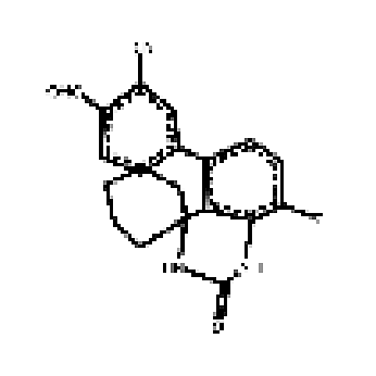 N#Cc1cc(-c2ccc(Cl)c3c2C2(CCCCC2)NC(=O)N3)ccc1C=O